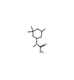 CC1CC(N(C)C(N)=O)CC(C)(C)C1